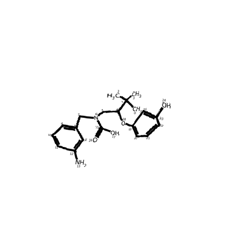 CC(C)(C)C(CN(Cc1cccc(N)c1)C(=O)O)Oc1cccc(O)c1